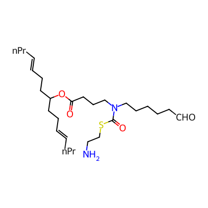 CCC/C=C/CCC(CC/C=C/CCC)OC(=O)CCCN(CCCCCC=O)C(=O)SCCN